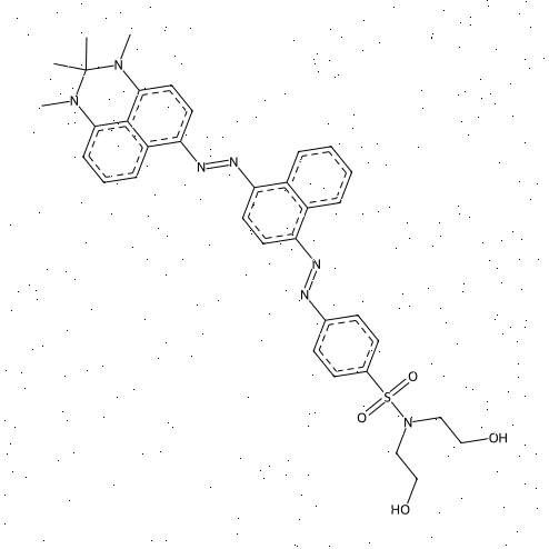 CN1c2cccc3c(N=Nc4ccc(N=Nc5ccc(S(=O)(=O)N(CCO)CCO)cc5)c5ccccc45)ccc(c23)N(C)C1(C)C